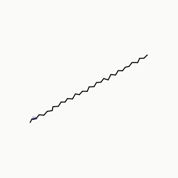 C/C=C/CCCCCCCCCCCCCCCCCCCCCCCCCCCCCCC